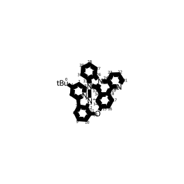 CC(C)(C)c1cc[n+]2c(c1)-c1cccc3c1[N+]21c2c(ccc4c5ncccc5n5c6ccccc6[n+]1c5c24)O3